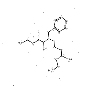 CCOC(=O)C(C)N(CCCC(O)OCC)Cc1ccccc1